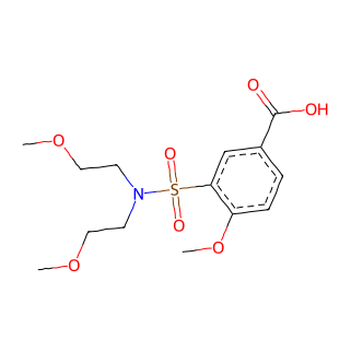 COCCN(CCOC)S(=O)(=O)c1cc(C(=O)O)ccc1OC